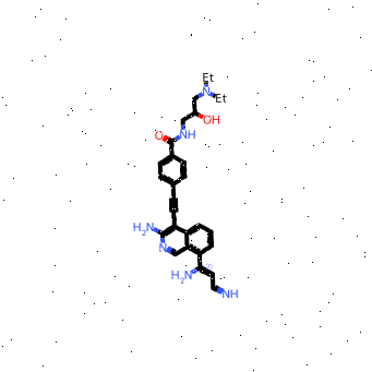 CCN(CC)CC(O)CNC(=O)c1ccc(C#Cc2c(N)ncc3c(/C(N)=C/C=N)cccc23)cc1